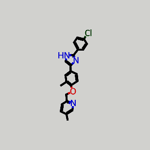 Cc1ccc(COc2ccc(-c3c[nH]c(-c4ccc(Cl)cc4)n3)cc2C)nc1